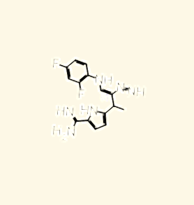 CC(/C(=C/Nc1ccc(F)cc1F)N=N)c1ccc(C(=N)N)[nH]1